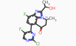 CC(O)c1nc2c(F)cc(-c3nc(Cl)ncc3F)c3c2n1[C@@H](C)CC3=O